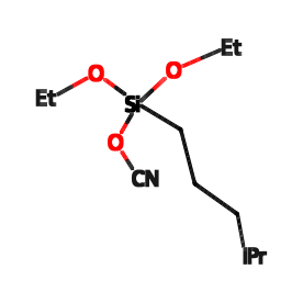 CCO[Si](CCCC(C)C)(OC#N)OCC